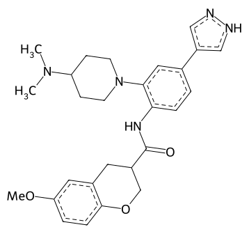 COc1ccc2c(c1)CC(C(=O)Nc1ccc(-c3cn[nH]c3)cc1N1CCC(N(C)C)CC1)CO2